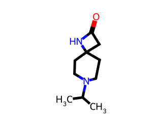 CC(C)N1CCC2(CC1)CC(=O)N2